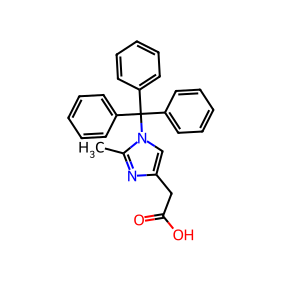 Cc1nc(CC(=O)O)cn1C(c1ccccc1)(c1ccccc1)c1ccccc1